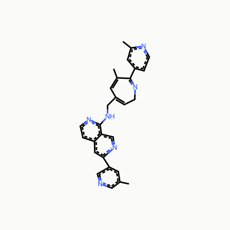 CC1=CC(CNc2nccc3cc(-c4cncc(C)c4)ncc23)=CCN=C1c1ccnc(C)c1